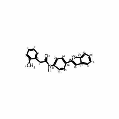 Cc1ccccc1CC(=O)Nc1ccc(-c2cc3ccccc3o2)cc1